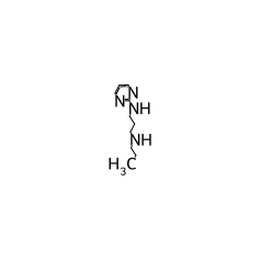 CCCNCCCNc1ncccn1